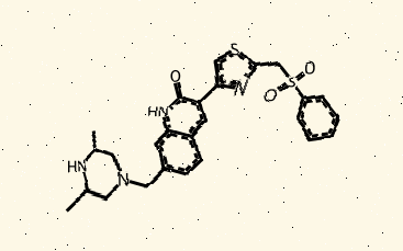 CC1CN(Cc2ccc3cc(-c4csc(CS(=O)(=O)c5ccccc5)n4)c(=O)[nH]c3c2)CC(C)N1